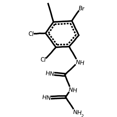 Cc1c(Br)cc(NC(=N)NC(=N)N)c(Cl)c1Cl